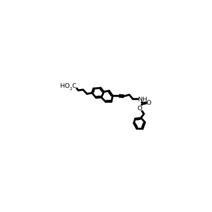 O=C(O)CCCc1ccc2cc(C#CCCNC(=O)OCc3ccccc3)ccc2c1